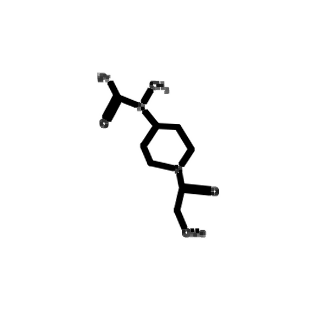 COCC(=O)N1CCC(N(C)C(=O)C(C)C)CC1